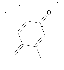 C=C1C=CC(=O)C=C1C